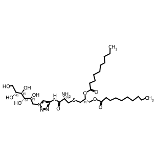 CCCCCCCCCC(=O)OC[C@H](CSC[C@@H](N)C(=O)Nc1cn(C[C@H](O)[C@H](O)[C@H](O)[C@H](O)CO)nn1)OC(=O)CCCCCCCCC